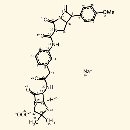 COc1ccc(C2NN3C(=O)N(C(=O)Nc4cccc(CC(=O)N[C@@H]5C(=O)N6[C@@H]5SC(C)(C)[C@@H]6C(=O)[O-])c4)CC23)cc1.[Na+]